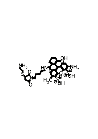 C=c1ccc2c(c1S(=O)(=O)O)Oc1c(ccc(N)c1S(=O)(=O)O)C=2c1c(C(=O)O)cccc1C(=O)NCCCCCN1C(=O)CC(SCCN)C1=O